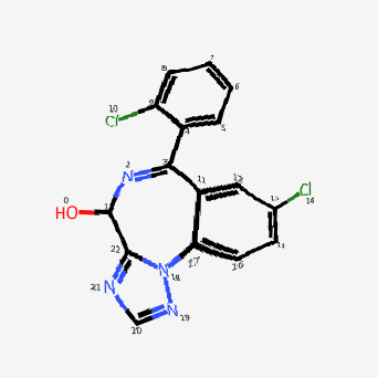 OC1N=C(c2ccccc2Cl)c2cc(Cl)ccc2-n2ncnc21